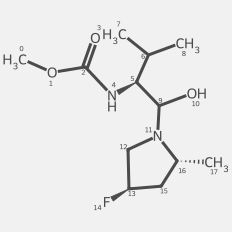 COC(=O)N[C@@H](C(C)C)C(O)N1C[C@H](F)C[C@H]1C